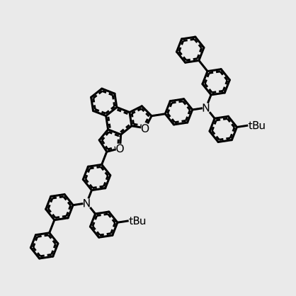 CC(C)(C)c1cccc(N(c2ccc(-c3cc4c5ccccc5c5cc(-c6ccc(N(c7cccc(-c8ccccc8)c7)c7cccc(C(C)(C)C)c7)cc6)oc5c4o3)cc2)c2cccc(-c3ccccc3)c2)c1